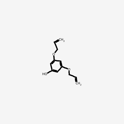 C=CCOc1cc(O)cc(OCC=C)c1